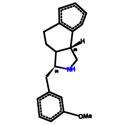 COc1cccc(C[C@H]2NC[C@H]3c4ccccc4CCC23)c1